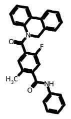 Cc1cc(C(=O)N2Cc3ccccc3-c3ccccc32)c(F)cc1C(=O)Nc1ccccc1